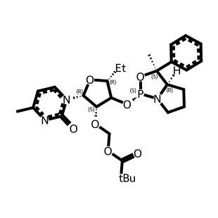 CC[C@H]1O[C@@H](n2ccc(C)nc2=O)[C@@H](OCOC(=O)C(C)(C)C)C1O[P@]1O[C@@](C)(c2ccccc2)[C@H]2CCCN21